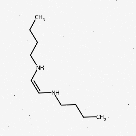 CCCCN/C=C\NCCCC